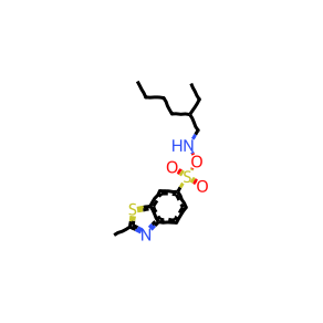 CCCCC(CC)CNOS(=O)(=O)c1ccc2nc(C)sc2c1